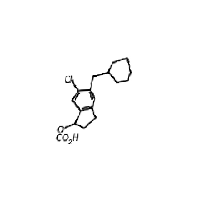 O=C(O)OC1CCc2cc(CC3CCCCC3)c(Cl)cc21